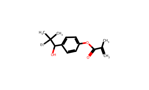 C=C(C)C(=O)Oc1ccc(C(O)C(C)(C)CC)cc1